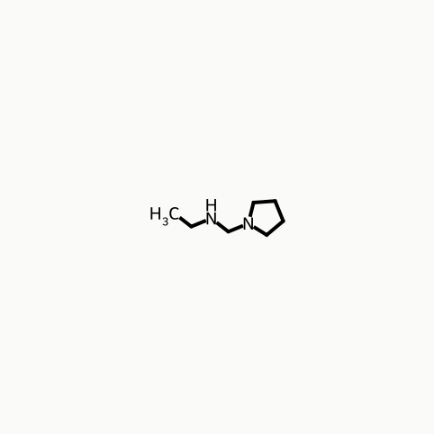 CCNCN1CCCC1